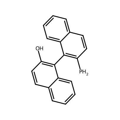 Oc1ccc2ccccc2c1-c1c(P)ccc2ccccc12